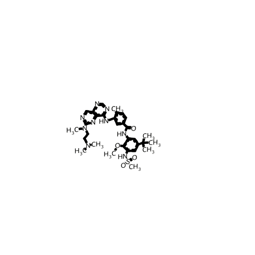 COc1c(NC(=O)c2ccc(C)c(Nc3ncnc4cnc(N(C)CCN(C)C)nc34)c2)cc(C(C)(C)C)cc1NS(C)(=O)=O